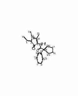 CCC1C(=O)C(NC(=O)C2(c3ccccc3)CCCC2)=C(C)N1C